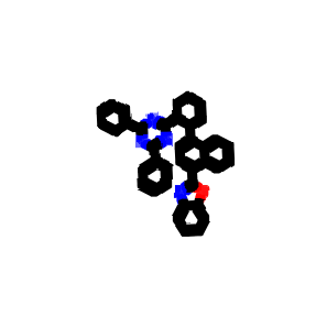 C1=CC(c2ccc(-c3nc4ccccc4o3)c3ccccc23)C(c2nc(-c3ccccc3)nc(-c3ccccc3)n2)CC1